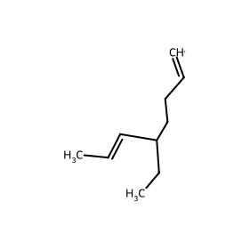 [CH]=CCCC(C=CC)CC